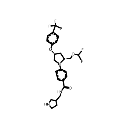 O=C(NCC1CCNC1)c1ccc(N2C[C@@H](Oc3ccc(C(F)(F)F)cc3)C[C@H]2COC(F)F)cc1